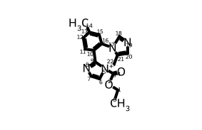 CCOC(=O)[N+]12C=CN=C1c1ccc(C)cc1-n1cncc1C2